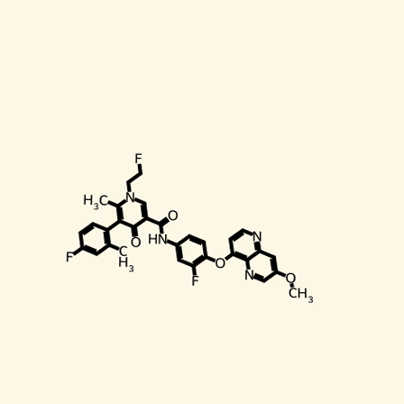 COc1cnc2c(Oc3ccc(NC(=O)c4cn(CCF)c(C)c(-c5ccc(F)cc5C)c4=O)cc3F)ccnc2c1